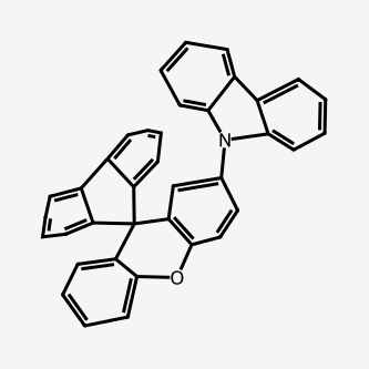 c1ccc2c(c1)Oc1ccc(-n3c4ccccc4c4ccccc43)cc1C21c2ccccc2-c2ccccc21